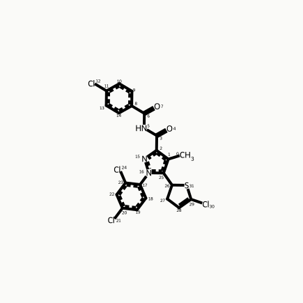 Cc1c(C(=O)NC(=O)c2ccc(Cl)cc2)nn(-c2ccc(Cl)cc2Cl)c1C1CC=C(Cl)S1